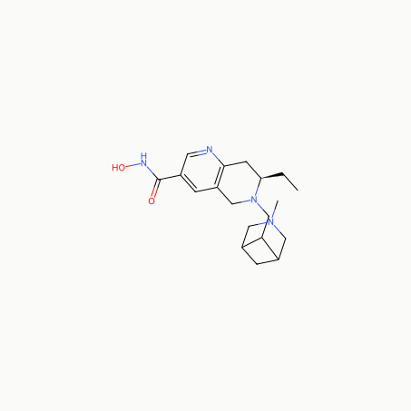 CC[C@@H]1Cc2ncc(C(=O)NO)cc2CN1CC1C2CC1CN(C)C2